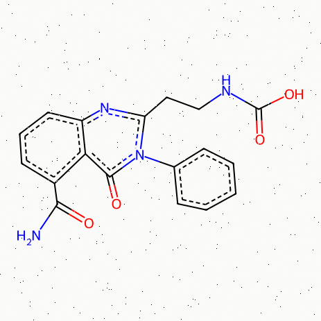 NC(=O)c1cccc2nc(CCNC(=O)O)n(-c3ccccc3)c(=O)c12